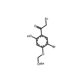 COCOc1cc(O)c(C(=O)CC(C)=O)cc1Br